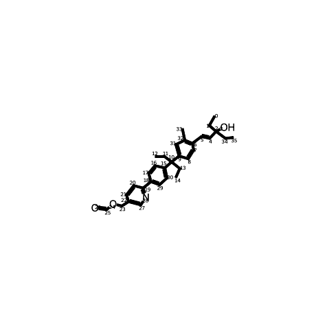 CCC(O)(/C=C/c1ccc(C(CC)(CC)c2ccc(-c3ccc(COC=O)cn3)cc2)cc1C)CC